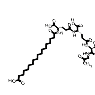 CC(=O)CNC(=O)[C@H](CO)NC(=O)CC[C@H](NC(=O)CC[C@H](NC(=O)CCCCCCCCCCCCCCCCC(=O)O)C(=O)O)C(=O)O